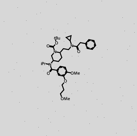 COCCCOc1cc(C(=O)N(C(C)C)C2CCC(CCN(C(=O)Cc3ccccc3)C3CC3)N(C(=O)OC(C)(C)C)C2)ccc1OC